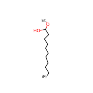 CCOC(O)CCCCCCCCCC(C)C